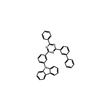 c1ccc(-c2cccc(-c3nc(-c4ccccc4)nc(-c4cccc(-n5c6ccccc6c6ccccc65)c4)n3)c2)cc1